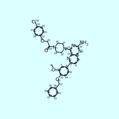 COc1cc(-c2ccc3nc(N)nc(N4CCN(C(=O)COc5ccc(Cl)cc5)CC4)c3n2)ccc1OCc1ccccc1